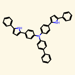 c1ccc(-c2ccc(N(c3ccc(-c4ccc(-c5ccccc5)[nH]4)cc3)c3ccc(-c4ccc(-c5ccccc5)[nH]4)cc3)cc2)cc1